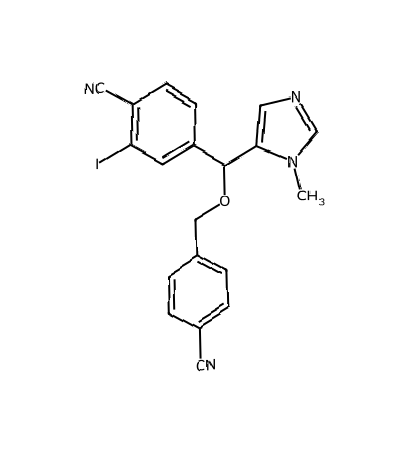 Cn1cncc1C(OCc1ccc(C#N)cc1)c1ccc(C#N)c(I)c1